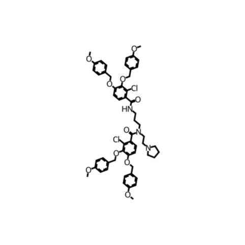 COc1ccc(COc2ccc(C(=O)NCCCN(CCN3CCCC3)C(=O)c3ccc(OCc4ccc(OC)cc4)c(OCc4ccc(OC)cc4)c3Cl)c(Cl)c2OCc2ccc(OC)cc2)cc1